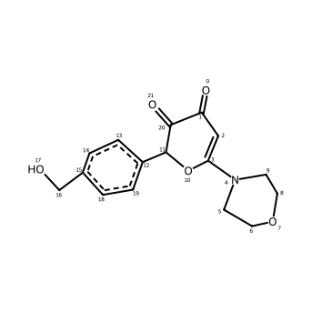 O=C1C=C(N2CCOCC2)OC(c2ccc(CO)cc2)C1=O